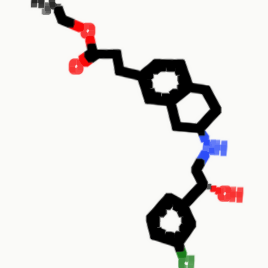 CCOC(=O)CCc1ccc2c(c1)C[C@H](NC[C@H](O)c1cccc(Cl)c1)CC2